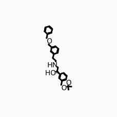 CC1(C)OCc2cc([C@@H](O)CNCCc3cccc(COCc4ccccc4)c3)ccc2O1